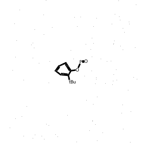 CC(C)(C)c1ccccc1OP=O